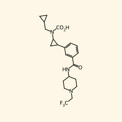 O=C(NC1CCN(CC(F)(F)F)CC1)c1cccc(C2CC2N(CC2CC2)C(=O)O)c1